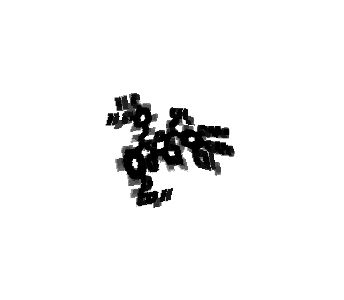 C=CC[C@H](C(=O)N1CCC[C@H]1C(=O)O[C@H](CCc1ccc(C)c(C)c1)c1cccc(OCC(=O)O)c1)c1cc(C)c(OC)c(OC)c1